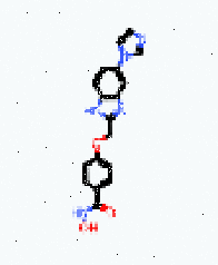 O=C(NO)c1ccc(OCc2nc3cc(-n4ccnc4)ccc3[nH]2)cc1